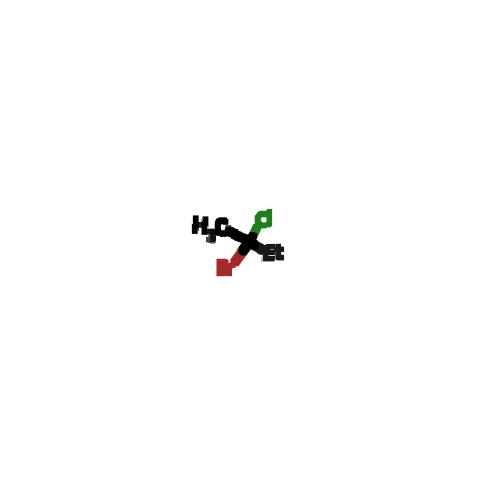 CCC(C)(Cl)Br